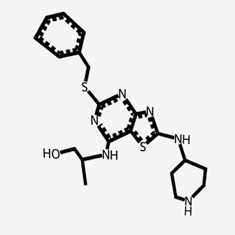 CC(CO)Nc1nc(SCc2ccccc2)nc2nc(NC3CCNCC3)sc12